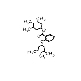 CCCC(CC(C)CC)OC(=O)c1ccccc1OC(CCC)CC(C)CC